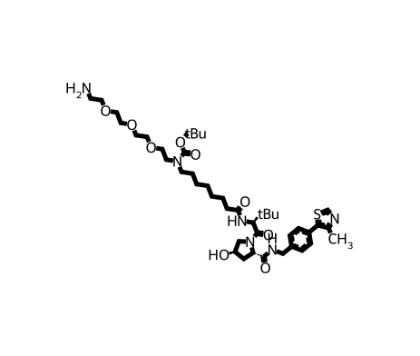 Cc1ncsc1-c1ccc(CNC(=O)[C@@H]2C[C@@H](O)CN2C(=O)[C@@H](NC(=O)CCCCCCCN(CCOCCOCCOCCN)C(=O)OC(C)(C)C)C(C)(C)C)cc1